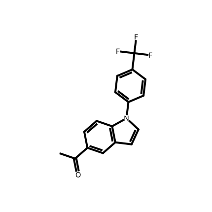 CC(=O)c1ccc2c(ccn2-c2ccc(C(F)(F)F)cc2)c1